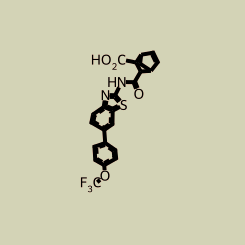 O=C(O)C1C2C=CC(C2)C1C(=O)Nc1nc2ccc(-c3ccc(OC(F)(F)F)cc3)cc2s1